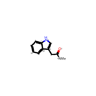 [CH2]NC(=O)Cc1c[nH]c2ccccc12